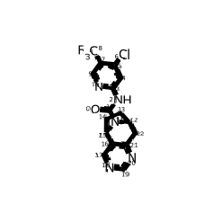 O=C(Nc1cc(Cl)c(C(F)(F)F)cn1)N1C2CCC1c1cncnc1C2